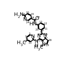 Cc1ccnc(Nc2nc(-c3cccc(NC(=O)c4ccc(N)nc4)c3)nc3ccn(C)c23)c1